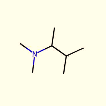 C[C](C)C(C)N(C)C